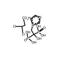 O=C(O)CC(Cl)Cl.O=P(O)(O)C(O)(Cn1ccnc1)P(=O)(O)O